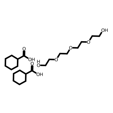 O=C(O)C1CCCCC1.O=C(O)C1CCCCC1.OCCOCCOCCOCCO